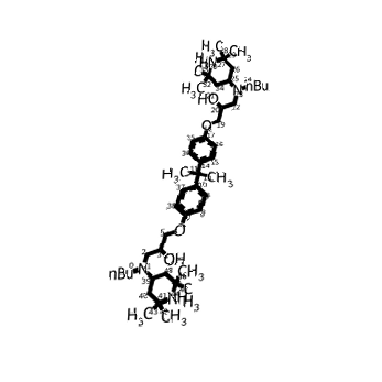 CCCCN(CC(O)COc1ccc(C(C)(C)c2ccc(OCC(O)CN(CCCC)C3CC(C)(C)NC(C)(C)C3)cc2)cc1)C1CC(C)(C)NC(C)(C)C1